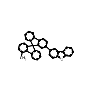 Cc1cccc2c1-c1ccccc1C21c2ccccc2-c2ccc(-c3ccc4oc5ccccc5c4c3)cc21